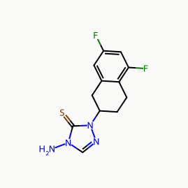 Nn1cnn(C2CCc3c(F)cc(F)cc3C2)c1=S